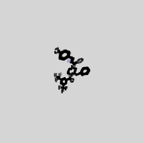 O=C(/C=C/c1ccc(Cl)cc1)N1CCN(C(=O)c2cc(C(F)(F)F)cc(C(F)(F)F)c2)[C@H](Cc2ccccc2)C1